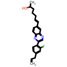 C=CCc1ccc(-c2cnc3cc(/C=C/CCCC(C)O)ccc3n2)c(F)c1